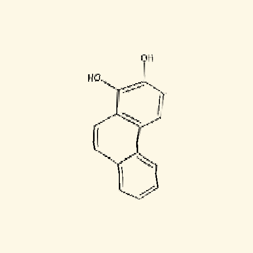 Oc1[c]cc2c(ccc3ccccc32)c1O